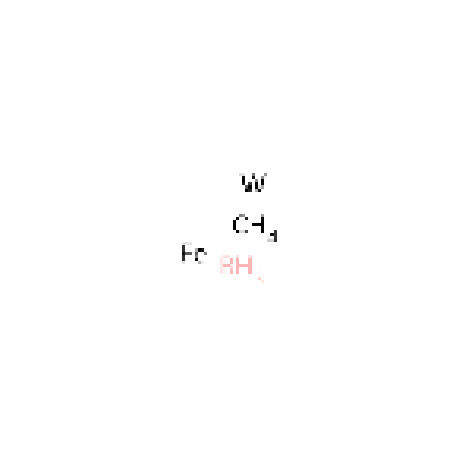 B.C.[Fe].[W]